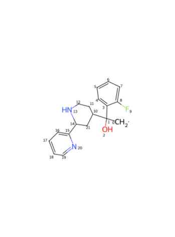 [CH2]C(O)(c1ccccc1F)C1CCNC(c2ccccn2)C1